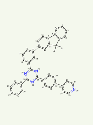 CC1(C)c2ccccc2-c2ccc(-c3cccc(-c4nc(-c5ccccc5)nc(-c5ccc(-c6ccncc6)cc5)n4)c3)cc21